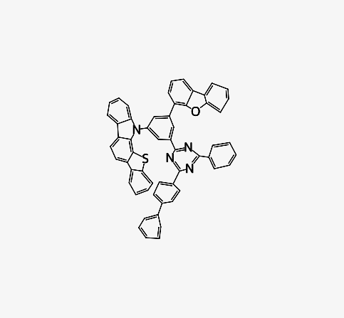 c1ccc(-c2ccc(-c3nc(-c4ccccc4)nc(-c4cc(-c5cccc6c5oc5ccccc56)cc(-n5c6ccccc6c6ccc7c8ccccc8sc7c65)c4)n3)cc2)cc1